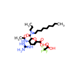 CCCCCCCCCN(CCC)C(=O)[C@@H]1OC(C(=O)O)=C[C@H](NC(=N)N)[C@H]1NC(C)=O.O=C(O)C(F)(F)F